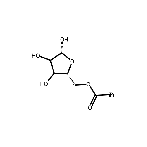 CC(C)C(=O)OC[C@H]1O[C@@H](O)C(O)C1O